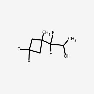 CC(O)C(F)(F)C1(C)CC(F)(F)C1